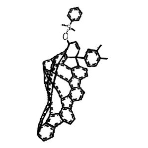 Cc1ccc(C23C=CC4(O[Si](C)(C)c5ccccc5)c5ccc6c7ccc8c9ccc%10c%11ccc2c2c%12c3c4c3c5c6c4c7c8c5c9c%10c(c%112)c2c%12c3c4c52)cc1C